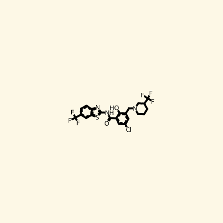 O=C(Nc1nc2ccc(C(F)(F)F)cc2s1)c1cc(Cl)cc(CN2CCCC(C(F)(F)F)C2)c1O